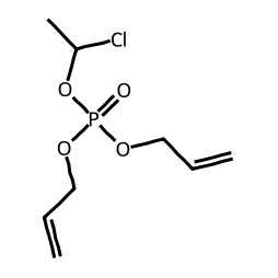 C=CCOP(=O)(OCC=C)OC(C)Cl